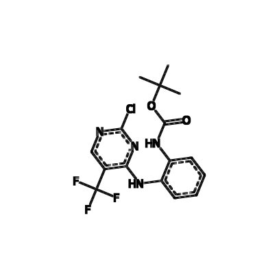 CC(C)(C)OC(=O)Nc1ccccc1Nc1nc(Cl)ncc1C(F)(F)F